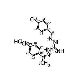 CC(=NNC(=N)NN=Cc1ccc(Cl)cc1)c1ccc(Cl)cc1.Cl